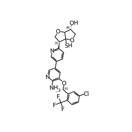 C[C@H](Oc1cc(-c2ccc([C@H]3COC4[C@H](O)COC43S)nc2)cnc1N)c1cc(Cl)ccc1C(F)(F)F